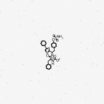 COC(=O)NC(Cc1ccccc1)C(=O)NC(Cc1ccc(OS(N)(=O)=O)cc1)c1ncc(-c2ccccc2)s1